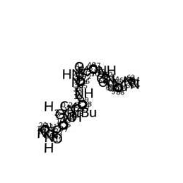 C[C@@H](C(=O)Nc1ccc2c(c1)CC1(C2)C(=O)Nc2ncccc21)N(Cc1ccccc1CNCc1ccc2c(n1)NC(=O)C21Cc2ccc(NC(=O)CN(Cc3ccccc3Cn3ccnc3)C(=O)C(C)(C)C)cc2C1)C(=O)C(C)(C)C